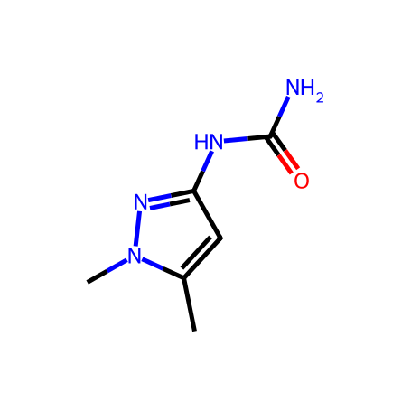 Cc1cc(NC(N)=O)nn1C